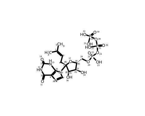 CC(C)=CC[C@@]1(n2cnc3c(=O)[nH]c(=O)[nH]c32)O[C@H](COP(=O)(O)OP(=O)(O)OP(=O)(O)O)[C@@H](O)[C@H]1O